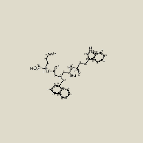 CCC(C)C(CN(CC(=O)NC(CCSC)C(=O)O)Cc1cccc2ccccc12)NC(=O)CCc1c[nH]c2ccccc12